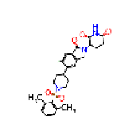 Cc1cccc(C)c1S(=O)(=O)N1CCC(c2cc3c(cc2F)C(=O)N(C2CCC(=O)NC2=O)C3)CC1